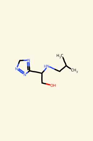 CC(C)CNC(CO)C1=NCN=N1